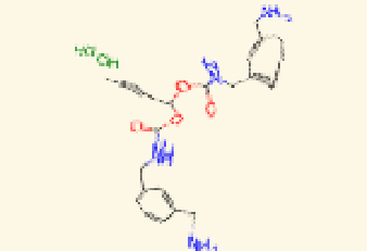 CC#CC(OC(=O)NCc1cccc(CN)c1)OC(=O)NCc1cccc(CN)c1.Cl.Cl